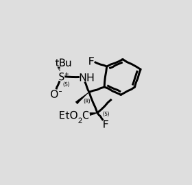 CCOC(=O)[C@@](C)(F)[C@](C)(N[S@+]([O-])C(C)(C)C)c1ccccc1F